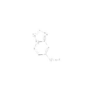 CCCC(C)c1ccn2ncnc2c1